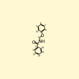 O=C(NCOc1ccccc1)c1ccccc1